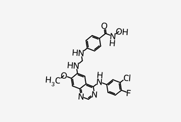 COc1cc2ncnc(Nc3ccc(F)c(Cl)c3)c2cc1NCNc1ccc(C(=O)NO)cc1